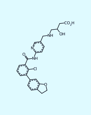 O=C(O)CC(O)CNCc1ccc(NC(=O)c2cccc(-c3ccc4c(c3)OCC4)c2Cl)nc1